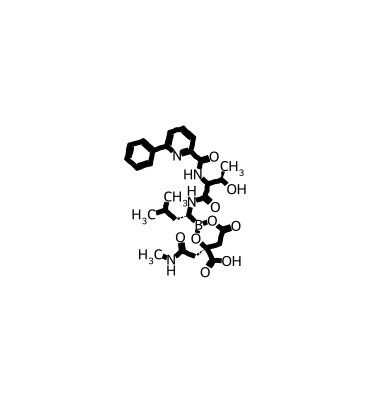 CNC(=O)C[C@@]1(C(=O)O)CC(=O)OB([C@H](CC(C)C)NC(=O)C(NC(=O)c2cccc(-c3ccccc3)n2)[C@@H](C)O)O1